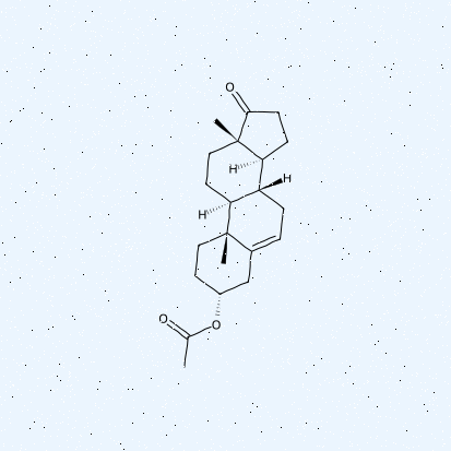 CC(=O)O[C@@H]1CC[C@@]2(C)C(=CC[C@@H]3[C@@H]2CC[C@]2(C)C(=O)CC[C@@H]32)C1